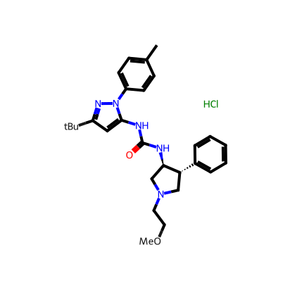 COCCN1C[C@@H](NC(=O)Nc2cc(C(C)(C)C)nn2-c2ccc(C)cc2)[C@H](c2ccccc2)C1.Cl